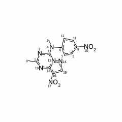 Cc1nc(N(C)c2ccc([N+](=O)[O-])cc2)n2ncc([N+](=O)[O-])c2n1